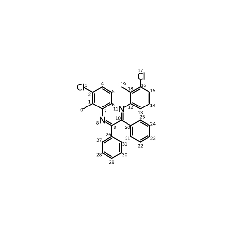 Cc1c(Cl)cccc1N=C(C(=Nc1cccc(Cl)c1C)c1ccccc1)c1ccccc1